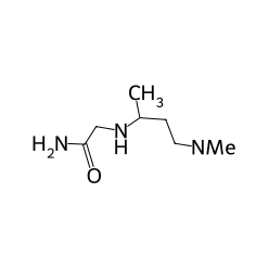 CNCCC(C)NCC(N)=O